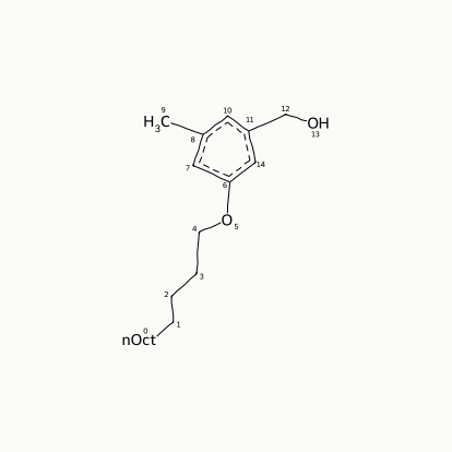 CCCCCCCCCCCCOc1cc(C)cc(CO)c1